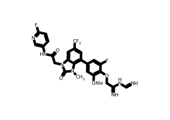 COc1cc(-c2cc(C(F)(F)F)cc3c2n(C)c(=O)n3CC(=O)Nc2ccc(F)nc2)cc(F)c1OCC(=N)NC=N